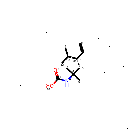 C=C[C@H](CC(C)(C)NC(=O)O)C(C)C